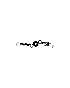 [SiH3]CCOc1ccc(OCCCCCCl)cc1